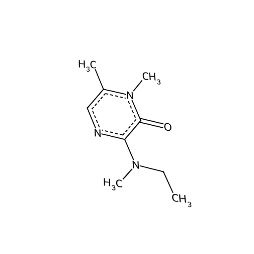 CCN(C)c1ncc(C)n(C)c1=O